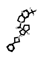 O=C(N1CCc2ncc(C(F)(F)F)cc2C1)[C@@]12CCC[C@@H]1C[C@@H](N1CC(c3ccccc3)C1)C2